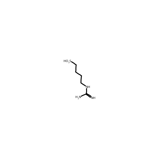 N=C(N)NCCCCS(=O)(=O)O